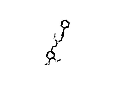 COc1ccc(CCN(CC#Cc2ccccc2)SF)cc1OC